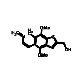 C=N/C=C\c1c(C)c(OC)c2sc(CO)cc2c1OC